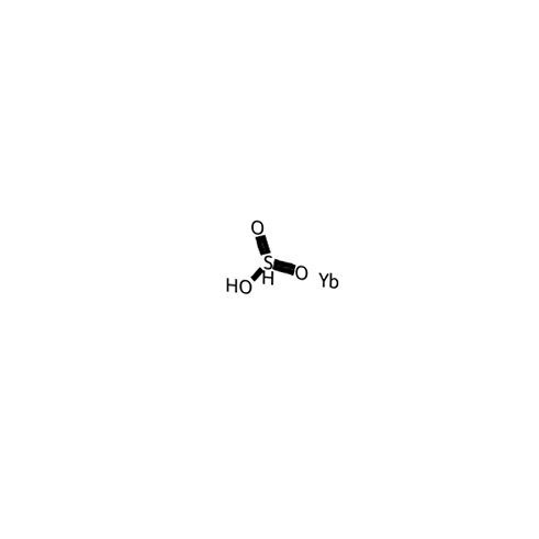 O=[SH](=O)O.[Yb]